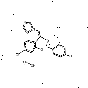 Clc1ccc(COC(=Cn2ccnc2)c2ccc(Cl)cc2Cl)cc1.O=[N+]([O-])O